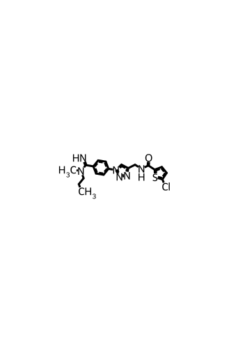 CCCN(C)C(=N)c1ccc(-n2cc(CNC(=O)c3ccc(Cl)s3)nn2)cc1